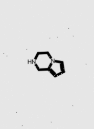 [c]1cc2n(c1)CCNC2